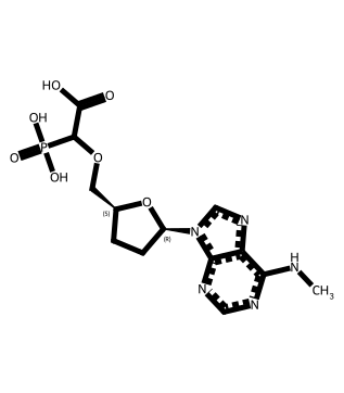 CNc1ncnc2c1ncn2[C@H]1CC[C@@H](COC(C(=O)O)P(=O)(O)O)O1